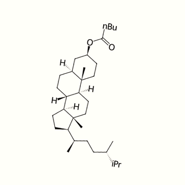 CCCCC(=O)O[C@H]1CC[C@@]2(C)[C@@H](CC[C@@H]3[C@@H]2CC[C@]2(C)[C@@H]([C@H](C)CC[C@H](C)C(C)C)CC[C@@H]32)C1